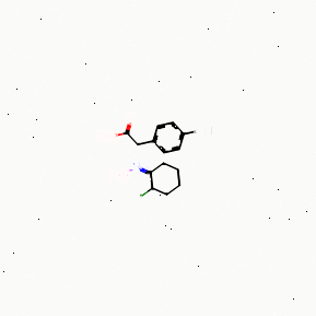 Cc1ccc(CC(=O)O)cc1.O/N=C1/CCCCC1Cl